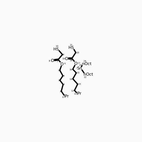 CC(C)CCCCCOC(=O)CS.CC(C)CCCCCOC(=O)CS.CCCCCCC[CH2][Sn][CH2]CCCCCCC